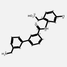 NCc1cccc(-c2cccc(C(=O)Nc3cc(Cl)ccc3CC(=O)O)c2)c1